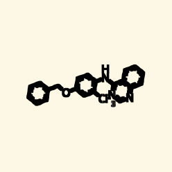 FC(F)(F)c1cc(OCc2ccccc2)ccc1Nc1ncnc2ccccc12